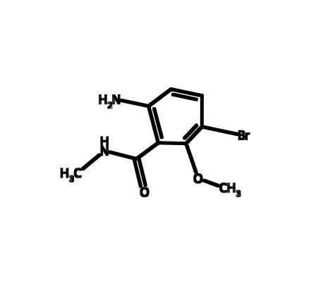 CNC(=O)c1c(N)ccc(Br)c1OC